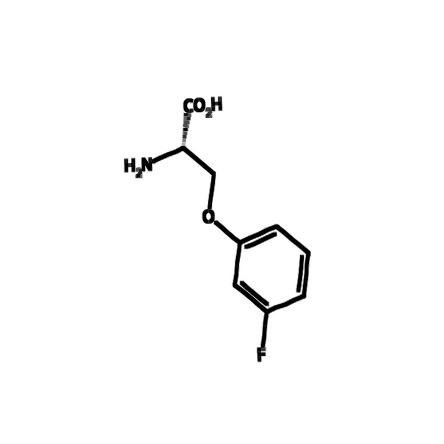 N[C@@H](COc1cccc(F)c1)C(=O)O